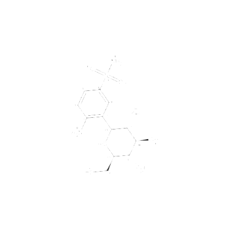 Nc1ccc(S(N)(=O)=O)cc1C1O[C@H](CO)[C@@H](O)[C@H](O)[C@H]1O